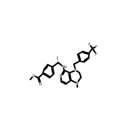 COC(=O)c1ccc([C@H](C)Nc2nccc3c2N(Cc2ccc(C(F)(F)F)cc2)CCN3C)cc1